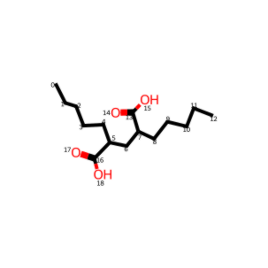 CCCCCC(CC(CCCCC)C(=O)O)C(=O)O